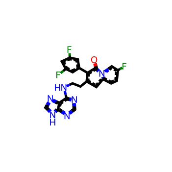 O=c1c(-c2cc(F)cc(F)c2)c(CCNc2ncnc3[nH]cnc23)cc2ccc(F)cn12